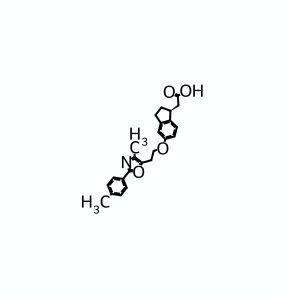 Cc1ccc(-c2nc(C)c(CCOc3ccc4c(c3)CC[C@H]4CC(=O)O)o2)cc1